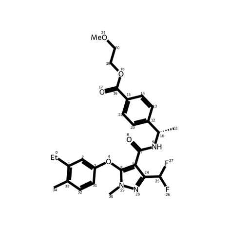 CCc1cc(Oc2c(C(=O)N[C@@H](C)c3ccc(C(=O)OCCOC)cc3)c(C(F)F)nn2C)ccc1C